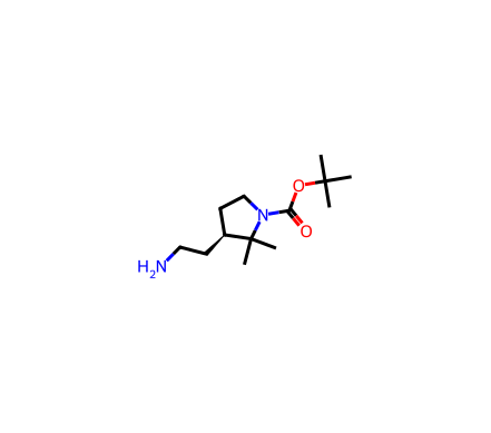 CC(C)(C)OC(=O)N1CC[C@H](CCN)C1(C)C